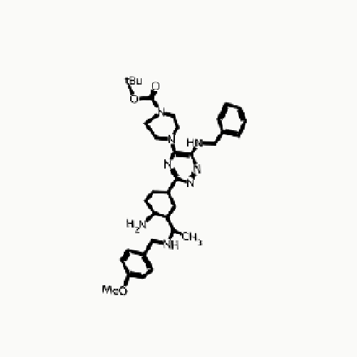 COc1ccc(CNC(C)C2CC(c3nnc(NCc4ccccc4)c(N4CCN(C(=O)OC(C)(C)C)CC4)n3)CCC2N)cc1